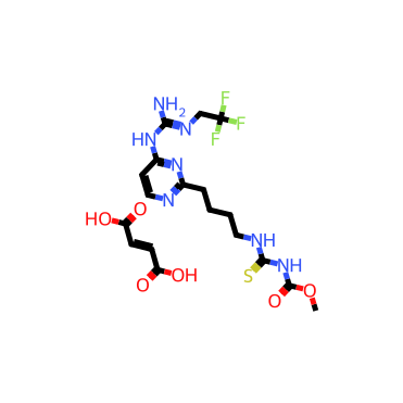 COC(=O)NC(=S)NCCCCc1nccc(NC(N)=NCC(F)(F)F)n1.O=C(O)C=CC(=O)O